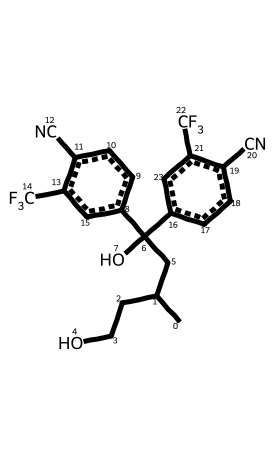 CC(CCO)CC(O)(c1ccc(C#N)c(C(F)(F)F)c1)c1ccc(C#N)c(C(F)(F)F)c1